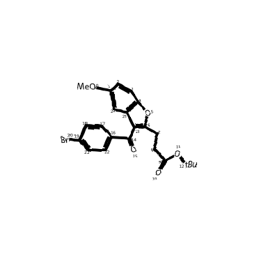 COc1ccc2oc(CCC(=O)OC(C)(C)C)c(C(=O)c3ccc(Br)cc3)c2c1